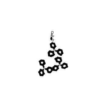 O=[CH][Ru][Cl].c1ccc(P(c2ccccc2)c2ccccc2)cc1.c1ccc(P(c2ccccc2)c2ccccc2)cc1.c1ccc(P(c2ccccc2)c2ccccc2)cc1